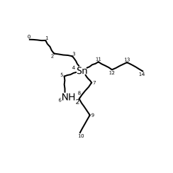 CCC[CH2][Sn]([CH2]N)([CH2]CCC)[CH2]CCC